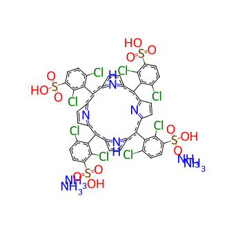 N.N.N.N.O=S(=O)(O)c1ccc(Cl)c(-c2c3nc(c(-c4c(Cl)ccc(S(=O)(=O)O)c4Cl)c4ccc([nH]4)c(-c4c(Cl)ccc(S(=O)(=O)O)c4Cl)c4nc(c(-c5c(Cl)ccc(S(=O)(=O)O)c5Cl)c5ccc2[nH]5)C=C4)C=C3)c1Cl